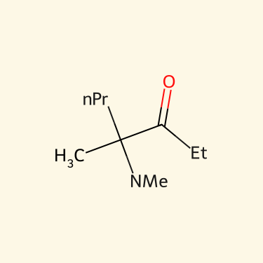 CCCC(C)(NC)C(=O)CC